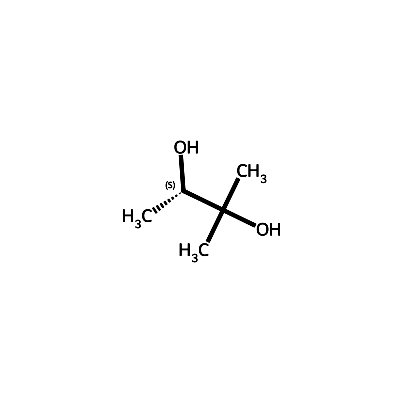 C[C@H](O)C(C)(C)O